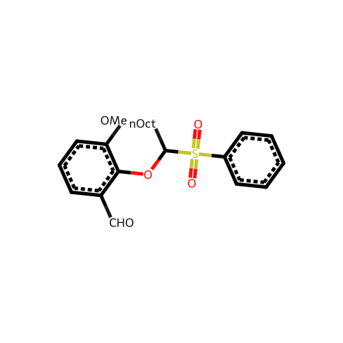 CCCCCCCCC(Oc1c(C=O)cccc1OC)S(=O)(=O)c1ccccc1